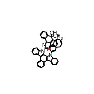 CC1(C)c2ccccc2-c2nc(-n3c4ccccc4c4c5ccccc5c5c6ccccc6n(-c6ccc7c(c6)CC=CC=C7)c5c43)nc3cccc1c23